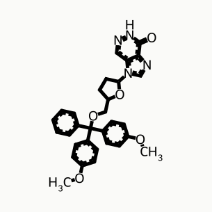 COc1ccc(C(OCC2CCC(n3cnc4c(=O)[nH]ncc43)O2)(c2ccccc2)c2ccc(OC)cc2)cc1